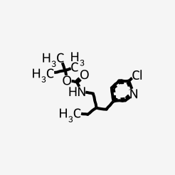 CCC(CNC(=O)OC(C)(C)C)Cc1ccc(Cl)nc1